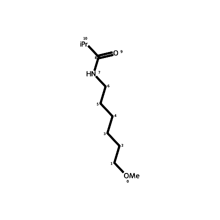 COCCCCCCNC(=O)C(C)C